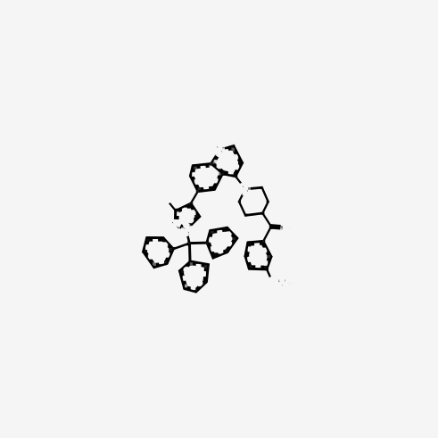 CSc1cccc(C(=O)C2CCN(c3ccnc4ccc(-c5cn(C(c6ccccc6)(c6ccccc6)c6ccccc6)nc5C(F)(F)F)cc34)CC2)c1